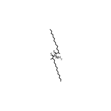 CCCCCCCCCCCCC(C)C(=S)N(N)C(=S)C(C)CCCCCCCCCCCC